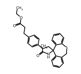 CCOC(=O)CCc1ccc(CCC2(NC(C)=O)c3ccccc3CSc3ccccc32)cc1